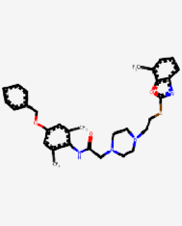 O=C(CN1CCN(CCSc2nc3cccc(C(F)(F)F)c3o2)CC1)Nc1c(C(F)(F)F)cc(OCc2ccccc2)cc1C(F)(F)F